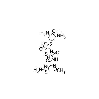 CON=C(C(=O)N[C@@H]1C(=O)N2CC(CSc3cc(N)[n+](C)c(N)n3)(C(=O)[O-])CS[C@H]12)c1csc(N)n1